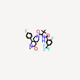 CN1CC(c2ccc(F)cc2)C2(CCN(C(=O)[C@@H](NC(=O)c3cc(C(F)(F)F)ccc3F)C(C)(C)C)CC2)CC1=O